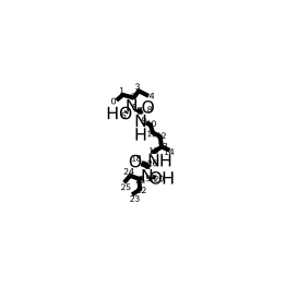 CCC(CC)N(O)C(=O)NCCCC(C)CNC(=O)N(O)C(CC)CC